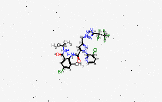 Cc1cc(Br)cc(C(=O)NC(C)C)c1NC(=O)c1cc(Cn2nnc(C(F)(F)C(F)(F)F)n2)nn1-c1ncccc1Cl